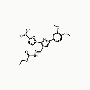 CCOC(=O)NN=Cc1cn(-c2ccc(OC)c(OC)c2)nc1-c1ccc([N+](=O)[O-])o1